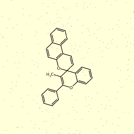 CC1=C(c2ccccc2)Oc2ccccc2C12C=Cc1c(ccc3ccccc13)O2